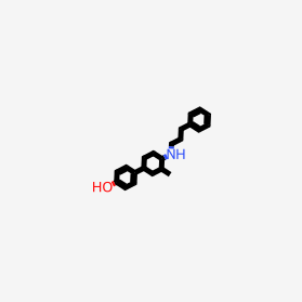 CC1CC(c2ccc(O)cc2)CCC1NCCCc1ccccc1